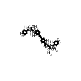 CC(C)[C@H](NC(=O)C1CCC(F)(F)CC1)c1ncc(-c2ccc(C#Cc3ccc4nc([C@@H](NC(=O)C5CCC(F)(F)CC5)C(C)C)[nH]c4c3)cc2)[nH]1